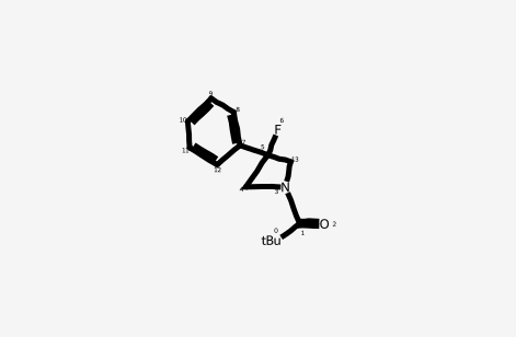 CC(C)(C)C(=O)N1CC(F)(c2ccccc2)C1